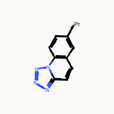 CC(C)c1ccc2c(ccc3nnnn32)c1